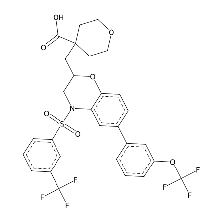 O=C(O)C1(CC2CN(S(=O)(=O)c3cccc(C(F)(F)F)c3)c3cc(-c4cccc(OC(F)(F)F)c4)ccc3O2)CCOCC1